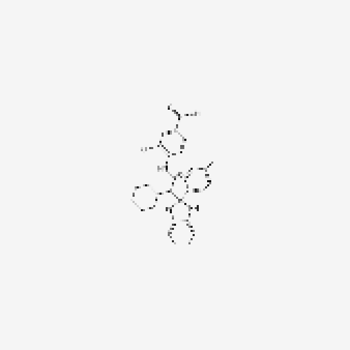 O=C(O)c1ccc(NC(=O)C(C2CCCCC2)C2(c3ccc(Cl)cc3)Nc3ccccc3N2)c(Cl)c1